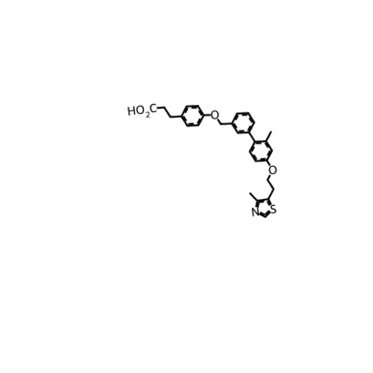 Cc1cc(OCCc2scnc2C)ccc1-c1cccc(COc2ccc(CCC(=O)O)cc2)c1